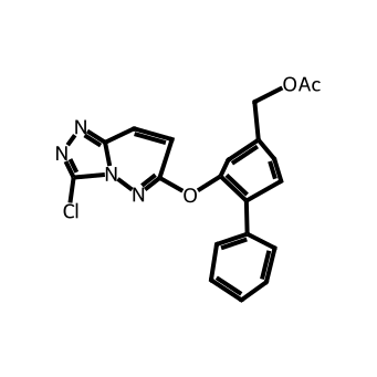 CC(=O)OCc1ccc(-c2ccccc2)c(Oc2ccc3nnc(Cl)n3n2)c1